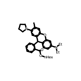 CCCCCCOC(=O)c1ccccc1C1c2ccc(N(CC)CC)cc2Oc2cc(C)c(N3CCCC3)cc21